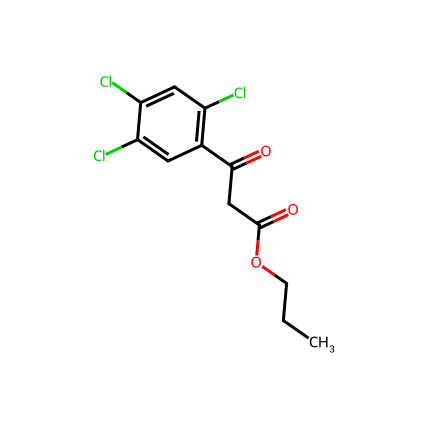 CCCOC(=O)CC(=O)c1cc(Cl)c(Cl)cc1Cl